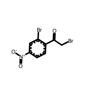 O=C(CBr)c1ccc([N+](=O)[O-])cc1Br